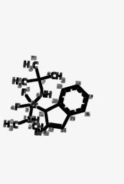 C[SiH](C)[Zr]([F])([F])([NH]C(C)(C)C)[CH]1C(Br)=Cc2ccccc21